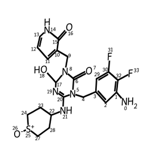 Nc1cc(CN2C(=O)N(Cc3ccc[nH]c3=O)C(O)N=C2NC2CC[S+]([O-])CC2)cc(F)c1F